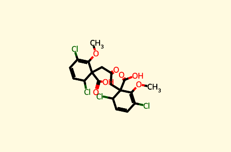 COC1=C(Cl)C=CC(Cl)C1(CC(=O)CC1(C(=O)O)C(OC)=C(Cl)C=CC1Cl)C(=O)O